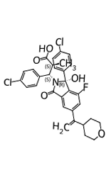 C=C(c1cc(F)c2c(c1)C(=O)N([C@H](c1ccc(Cl)cc1)[C@H](C)C(=O)O)[C@@]2(O)c1ccc(Cl)cc1)C1CCOCC1